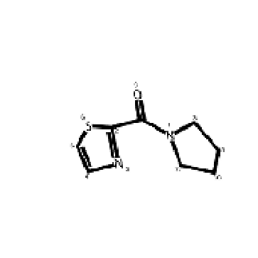 O=C(c1nccs1)N1CCCC1